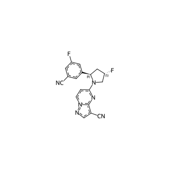 N#Cc1cc(F)cc([C@H]2C[C@H](F)CN2c2ccn3ncc(C#N)c3n2)c1